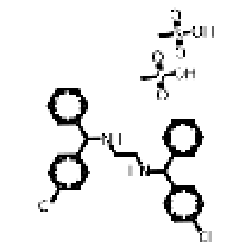 CS(=O)(=O)O.CS(=O)(=O)O.Clc1ccc(C(NCCNC(c2ccccc2)c2ccc(Cl)cc2)c2ccccc2)cc1